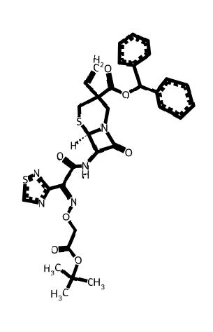 C=CC1(C(=O)OC(c2ccccc2)c2ccccc2)CS[C@@H]2C(NC(=O)C(=NOCC(=O)OC(C)(C)C)c3ncsn3)C(=O)N2C1